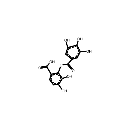 O=C(Oc1c(C(=O)O)ccc(O)c1O)c1cc(O)c(O)c(O)c1